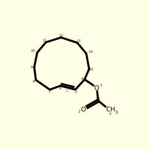 CC(=O)OC1/C=C/CCCCCCCCC1